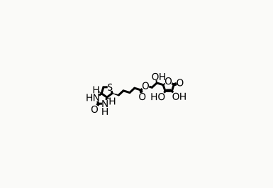 O=C1N[C@H]2[C@H](CS[C@H]2CCCCC(=O)OC[C@@H](O)[C@H]2OC(=O)C(O)=C2O)N1